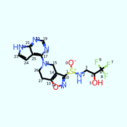 [O-][S+](NCC(O)C(F)(F)F)c1noc2c1CN(c1ncnc3[nH]ccc13)CC2